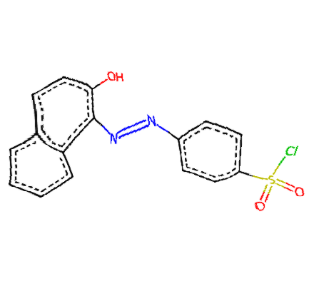 O=S(=O)(Cl)c1ccc(N=Nc2c(O)ccc3ccccc23)cc1